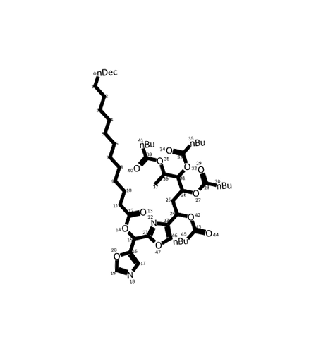 CCCCCCCCCCCCCCCCCCCCCC(=O)OC(c1cnco1)c1nc(C(CC(OC(=O)CCCC)C(OC(=O)CCCC)C(C)OC(=O)CCCC)OC(=O)CCCC)co1